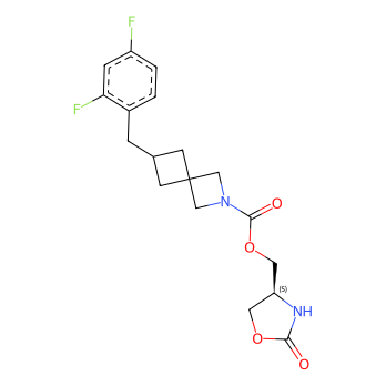 O=C1N[C@H](COC(=O)N2CC3(CC(Cc4ccc(F)cc4F)C3)C2)CO1